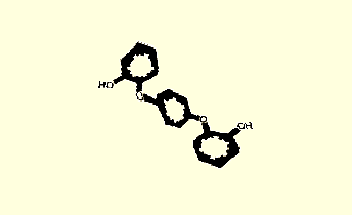 Oc1ccccc1Oc1ccc(Oc2ccccc2O)cc1